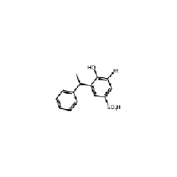 CCc1cc(S(=O)(=O)O)cc(C(C)c2ccccc2)c1O